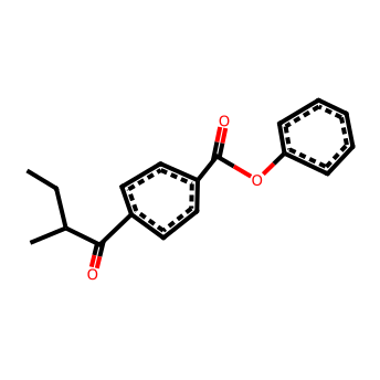 CCC(C)C(=O)c1ccc(C(=O)Oc2ccccc2)cc1